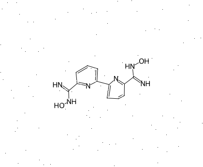 N=C(NO)c1cccc(-c2cccc(C(=N)NO)n2)n1